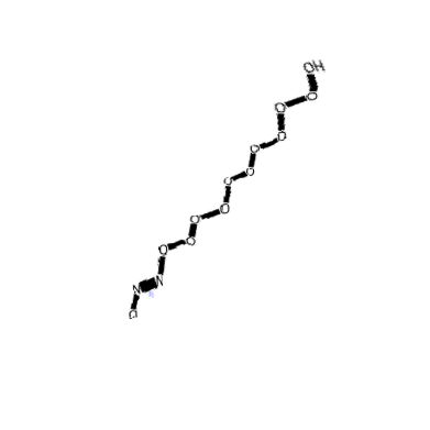 OOOOOOOOOOO/N=N/Cl